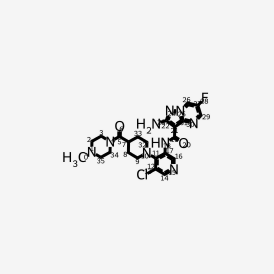 CN1CCN(C(=O)C2CCN(c3c(Cl)cncc3NC(=O)c3c(N)nn4cc(F)cnc34)CC2)CC1